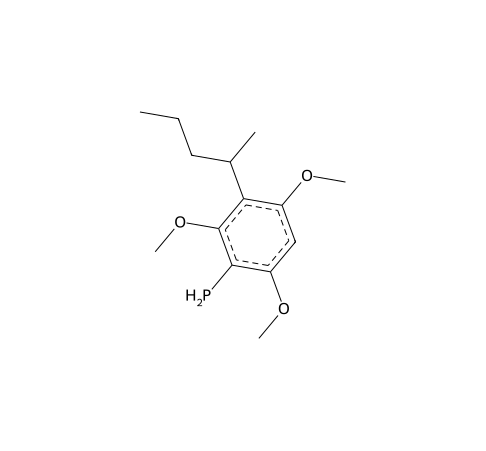 CCCC(C)c1c(OC)cc(OC)c(P)c1OC